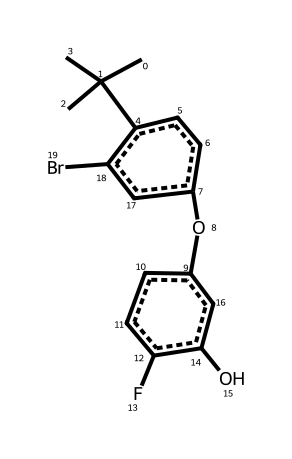 CC(C)(C)c1ccc(Oc2ccc(F)c(O)c2)cc1Br